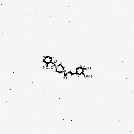 COc1cc(/C=C/C(=O)N2CCN(S(=O)(=O)c3ccccc3[N+](=O)[O-])CC2)ccc1O